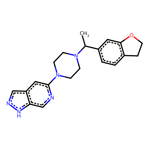 CC(c1ccc2c(c1)OCC2)N1CCN(c2cc3cn[nH]c3cn2)CC1